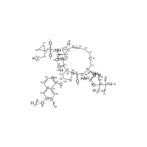 CCC1(S(=O)(=O)NC(=O)[C@@]23C[C@H]2/C=C\CCCC[C@@H](C)[C@H](NC(=O)OC(C)(C)C(F)(F)F)C(=O)N2C[C@H](Oc4nccc5cc(OC)c(F)cc45)C[C@H]2C(=O)N3)CC1